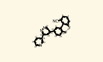 N#Cc1cccc(F)c1-c1cc(-c2cnnc(-c3cccnc3)c2)ccc1F